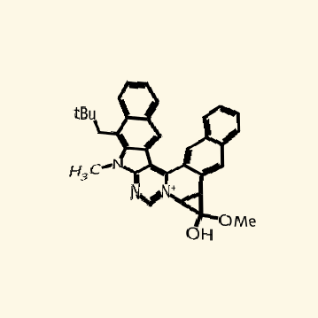 COC1(O)C2c3cc4ccccc4cc3-c3c4c5cc6ccccc6c(CC(C)(C)C)c5n(C)c4nc[n+]3C21